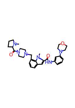 CN1CCCC1C(=O)N1CCN(Cc2cccc3cc(C(=O)Nc4cccc(N5CCOCC5)c4)n(C)c23)CC1